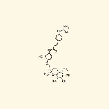 Cc1c(C)c2c(c(C)c1O)CCC(C)(CCOc1ccc(NC(=O)/C=C/c3ccc(NC(=N)N)cc3)cc1)O2.Cl